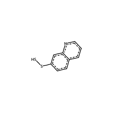 SSc1ccc2cccnc2c1